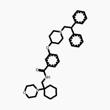 O=C(NCC1(N2CCOCC2)CCCCC1)c1cccc(OC2CCN(CC(c3ccccc3)c3ccccc3)CC2)c1